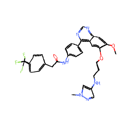 COc1cc2ncnc(-c3ccc(NC(=O)Cc4ccc(C(F)(F)F)cc4)cc3)c2cc1OCCCNc1cnn(C)c1